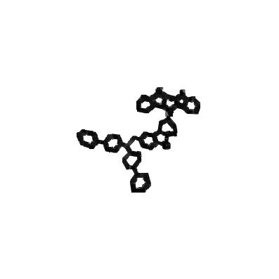 C1=C(C(Cc2ccc3c(c2)C2CC(n4c5c6ccccc6sc5c5sc6ccccc6c54)=CC=C2O3)c2ccc(-c3ccccc3)cc2)CCC(c2ccccc2)C1